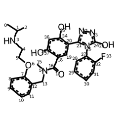 CC(C)NCCOc1ccccc1CN(C)C(=O)c1cc(-c2nnc(O)n2-c2ccccc2F)c(O)cc1O